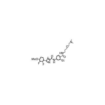 CCc1cc(NC(=O)c2ncc(-c3ccc(OC)c(F)c3F)n2C)ccc1C(=O)NCCCOCCN(C)C